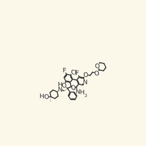 C[C@H]1c2c(cc(F)c(Cl)c2-c2c(C(N)=O)cnc(OCCOC3CCCCO3)c2F)O[C@]1(CN[C@H]1CC[C@](C)(O)CC1)c1ccccc1